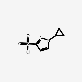 O=S(=O)(Cl)c1ccn(C2CC2)n1